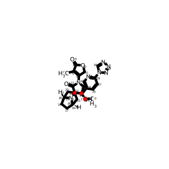 COC1CN(C2=C(C)C(=O)OC2)C(=O)C12C[C@H]1CC[C@H](C2)N1C[C@@H](O)c1ccc(-n2cnnn2)nc1